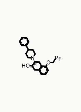 O[C@@H]1Cc2cccc(OCC[18F])c2C[C@H]1N1CCC(c2ccccc2)CC1